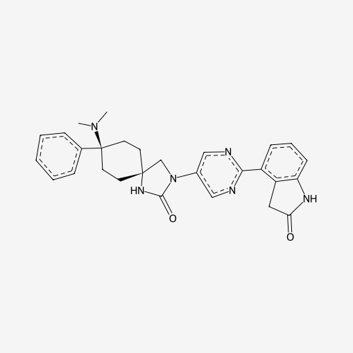 CN(C)[C@]1(c2ccccc2)CC[C@@]2(CC1)CN(c1cnc(-c3cccc4c3CC(=O)N4)nc1)C(=O)N2